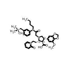 CCCCN(C(=O)CN1C[C@H](c2cc(OC)c3c(c2)OCO3)[C@@H](C(=O)O)[C@@H]1CCn1ccccc1=O)c1cccc(C[N+](C)(C)C)c1